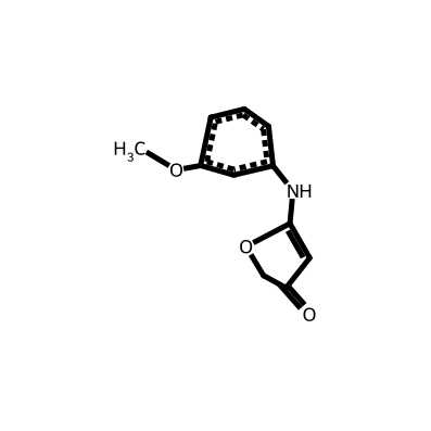 COc1cccc(NC2=CC(=O)CO2)c1